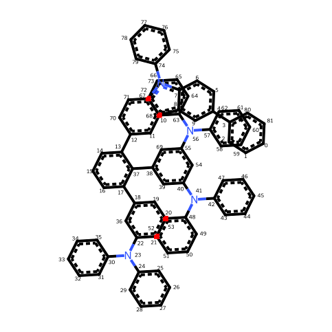 c1ccc(-c2ccc3c(c2)c2cc(-c4cccc(-c5cccc(N(c6ccccc6)c6ccccc6)c5)c4-c4cc(N(c5ccccc5)c5ccccc5)cc(N(c5ccccc5)c5ccccc5)c4)ccc2n3-c2ccccc2)cc1